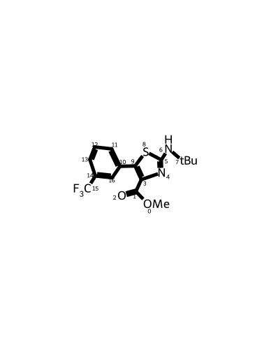 COC(=O)c1nc(NC(C)(C)C)sc1-c1cccc(C(F)(F)F)c1